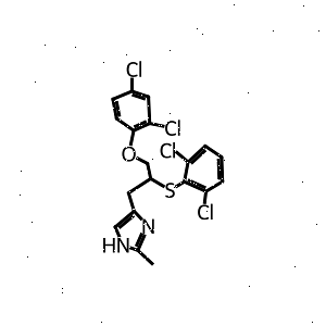 Cc1nc(CC(COc2ccc(Cl)cc2Cl)Sc2c(Cl)cccc2Cl)c[nH]1